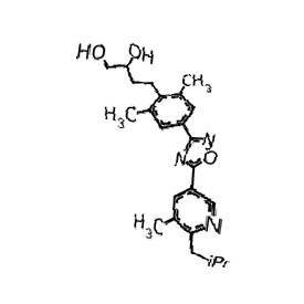 Cc1cc(-c2nc(-c3cc(C)c(CCC(O)CO)c(C)c3)no2)cnc1CC(C)C